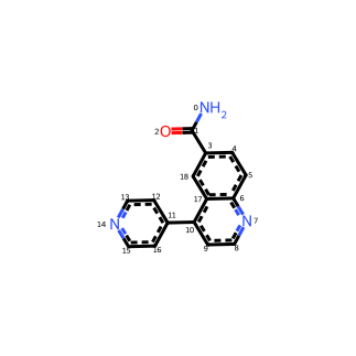 NC(=O)c1ccc2nccc(-c3ccncc3)c2c1